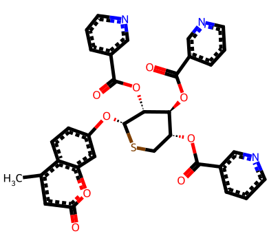 Cc1cc(=O)oc2cc(O[C@H]3SC[C@@H](OC(=O)c4cccnc4)[C@H](OC(=O)c4cccnc4)[C@H]3OC(=O)c3cccnc3)ccc12